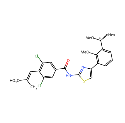 CCCCCC[C@H](OC)c1cccc(-c2csc(NC(=O)c3cc(Cl)c(C=C(C)C(=O)O)c(Cl)c3)n2)c1OC